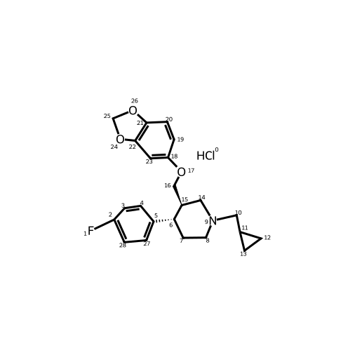 Cl.Fc1ccc([C@H]2CCN(CC3CC3)C[C@@H]2COc2ccc3c(c2)OCO3)cc1